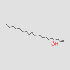 C=CCC(O)CCCCCCCCCCCCCCC